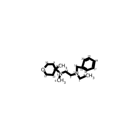 CCN(CCN(C)C1(C)CCOCC1)Cc1ccccc1